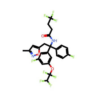 Cc1cc(CC(NC(=O)CCC(F)(F)F)(c2ccc(F)cc2)c2cc(F)cc(OC(F)(F)C(F)F)c2)on1